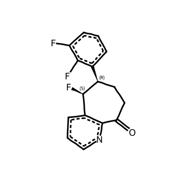 O=C1CC[C@H](c2cccc(F)c2F)[C@H](F)c2cccnc21